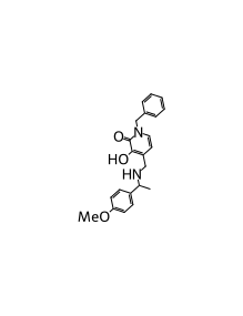 COc1ccc(C(C)NCc2ccn(Cc3ccccc3)c(=O)c2O)cc1